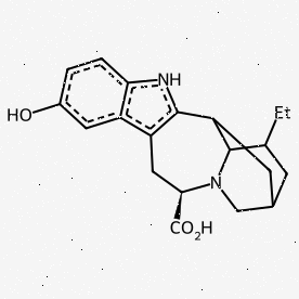 CCC1CC2CC3c4[nH]c5ccc(O)cc5c4C[C@H](C(=O)O)N(C2)C13